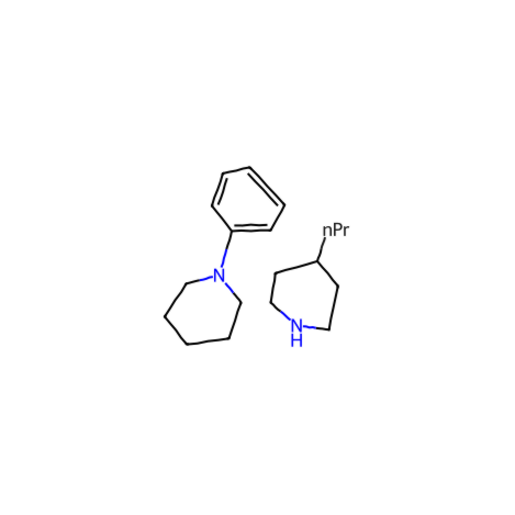 CCCC1CCNCC1.c1ccc(N2CCCCC2)cc1